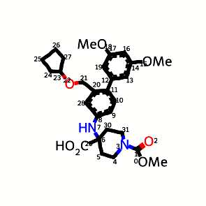 COC(=O)N1CCC(Nc2ccc(-c3cc(OC)cc(OC)c3)c(COC3CCCC3)c2)(C(=O)O)CC1